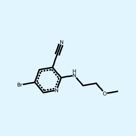 COCCNc1ncc(Br)cc1C#N